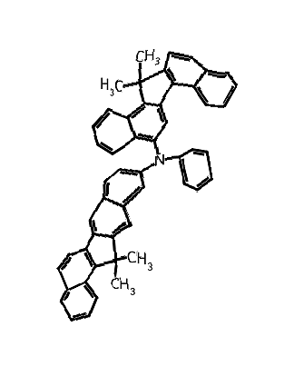 CC1(C)c2cc3cc(N(c4ccccc4)c4cc5c(c6ccccc46)C(C)(C)c4ccc6ccccc6c4-5)ccc3cc2-c2ccc3ccccc3c21